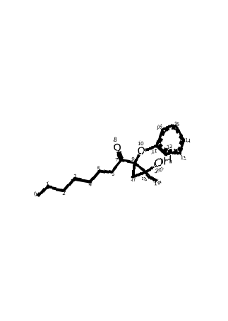 CCCCCCCC(=O)C1(Oc2ccccc2)CC1(C)O